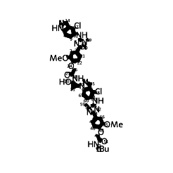 COC1CC(c2nc(Nc3ccc4[nH]ncc4c3Cl)n(C)n2)=CC=C1OCC(=O)NC1(O)CC1n1ncc2c(Cl)c(Nc3nc(C4=CC=C(OCC(=O)NC(C)(C)C)C(OC)C4)nn3C)ccc21